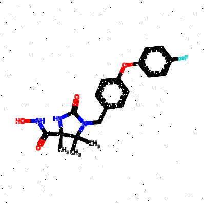 CC1(C)N(Cc2ccc(Oc3ccc(F)cc3)cc2)C(=O)N[C@@]1(C)C(=O)NO